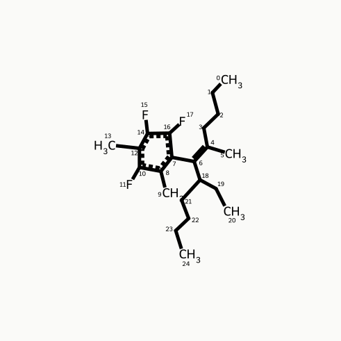 CCCC/C(C)=C(\c1c(C)c(F)c(C)c(F)c1F)C(CC)CCCC